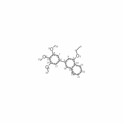 CCOc1cc(-c2cc(OC)c(OC)c(OC)c2)cc2ncccc12